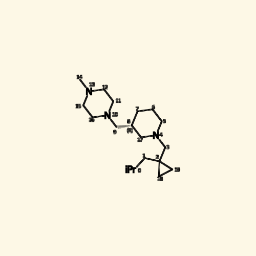 CC(C)CC1(CN2CCC[C@@H](CN3CCN(C)CC3)C2)CC1